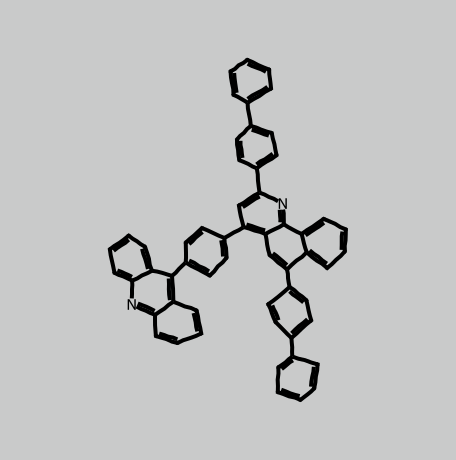 c1ccc(-c2ccc(-c3cc(-c4ccc(-c5c6ccccc6nc6ccccc56)cc4)c4cc(-c5ccc(-c6ccccc6)cc5)c5ccccc5c4n3)cc2)cc1